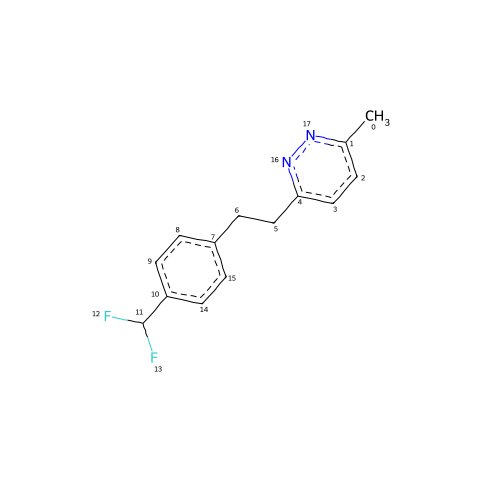 Cc1ccc(CCc2ccc(C(F)F)cc2)nn1